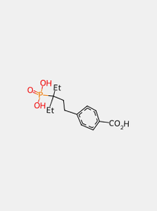 CCC(CC)(CCc1ccc(C(=O)O)cc1)P(=O)(O)O